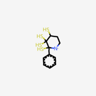 SC1CC[N]C(S)(c2ccccc2)C1(S)S